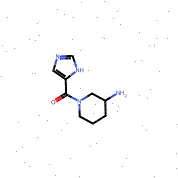 NC1CCCN(C(=O)c2cnc[nH]2)C1